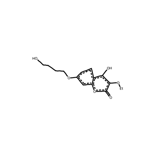 CCOc1c(O)c2ccc(OCCCCO)cc2oc1=O